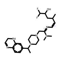 CC(/C=C\N=C(\CN1CCN(C(C)c2ccc3c(c2)PCC=N3)CC1)N(C)C)CC(O)C(F)F